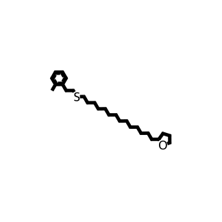 Cc1ccccc1CCSCCCCCCCCCCCCCCC1CCCO1